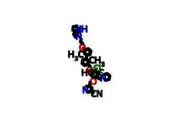 Cc1c(COc2cc(OCc3cncc(C#N)c3)c(CN3CCCC[C@H]3C(=O)O)cc2Cl)cccc1-c1cccc(OCCCN2CCC3(CCCN3)C2)c1C